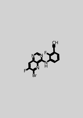 C#Cc1cccc(Nc2ncnc3cc(F)c(Br)nc23)c1F